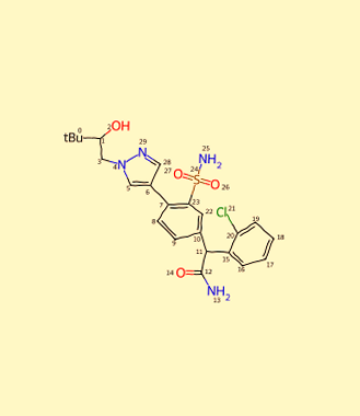 CC(C)(C)C(O)Cn1cc(-c2ccc(C(C(N)=O)c3ccccc3Cl)cc2S(N)(=O)=O)cn1